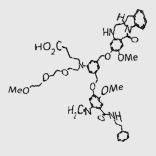 C=Nc1cc(OCc2cc(COc3cc4c(cc3OC)C(=O)N3c5ccccc5C[C@H]3CN4)cc(N(CCCC(=O)O)CCOCCOCCOC)c2)c(OC)cc1C(=O)NCCc1ccccc1